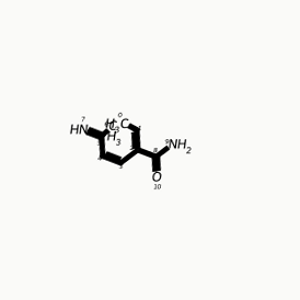 C/C=C(\C=C/C(C)=N)C(N)=O